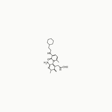 C=C1C(CNC=O)=C(n2c(C)ccc(NCCC3CCCCC3)c2=O)C(N)=NC1C